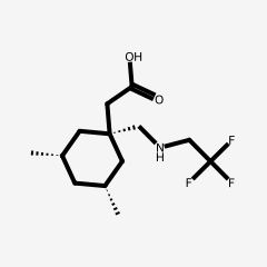 C[C@@H]1C[C@H](C)C[C@@](CNCC(F)(F)F)(CC(=O)O)C1